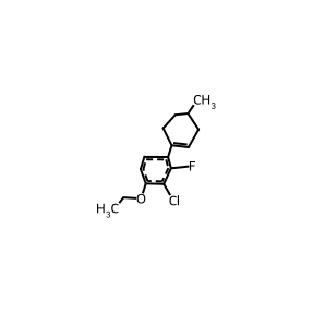 CCOc1ccc(C2=CCC(C)CC2)c(F)c1Cl